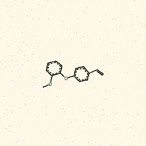 C=Cc1ccc(Oc2ccccc2OC)cc1